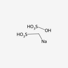 O=S(=O)(O)O.O=S(=O)(O)[CH2][Na]